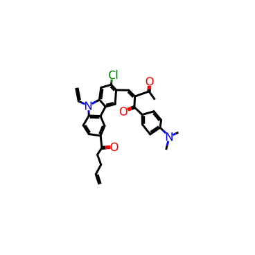 C=CCCC(=O)c1ccc2c(c1)c1cc(/C=C(/C(C)=O)C(=O)c3ccc(N(C)C)cc3)c(Cl)cc1n2C=C